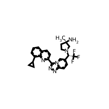 C[C@@]1(N)CCN([C@@H](c2ccc3nnc(-c4ccc5cccc(C6CC6)c5n4)n3c2)C(F)(F)F)C1